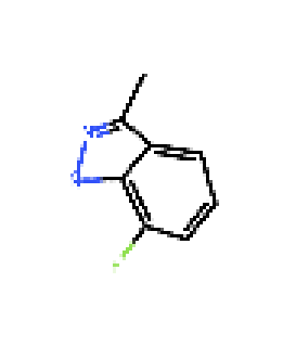 CC1=N[N]c2c(F)cccc21